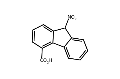 O=C(O)c1cccc2c1-c1ccccc1C2[N+](=O)[O-]